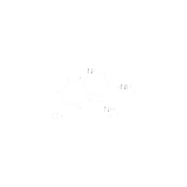 Nc1cnc2ccc(Cl)cc2c1N